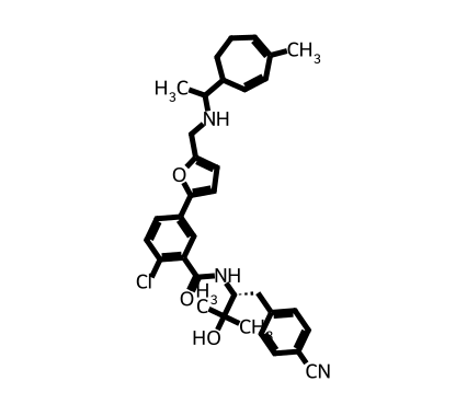 CC1=CCCC(C(C)NCc2ccc(-c3ccc(Cl)c(C(=O)N[C@H](Cc4ccc(C#N)cc4)C(C)(C)O)c3)o2)C=C1